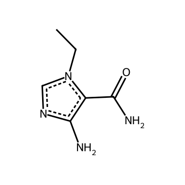 CCn1cnc(N)c1C(N)=O